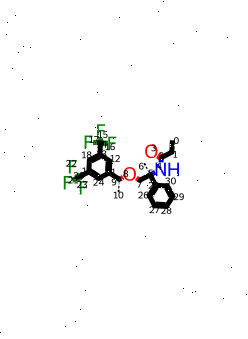 CCC(=O)N[C@](C)(CO[C@H](C)c1cc(C(F)(F)F)cc(C(F)(F)F)c1)c1ccccc1